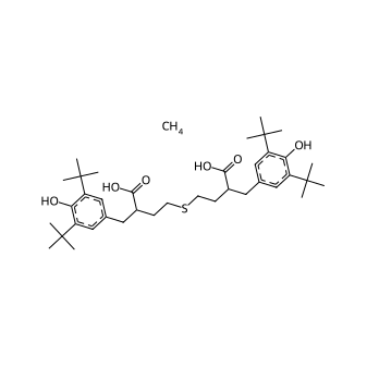 C.CC(C)(C)c1cc(CC(CCSCCC(Cc2cc(C(C)(C)C)c(O)c(C(C)(C)C)c2)C(=O)O)C(=O)O)cc(C(C)(C)C)c1O